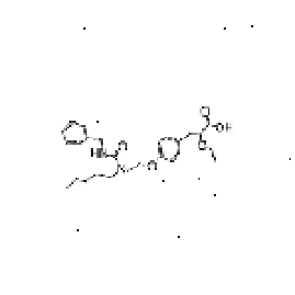 CCCCCN(CCOc1ccc(CC(OCC)C(=O)O)cc1)C(=O)NCc1ccccc1